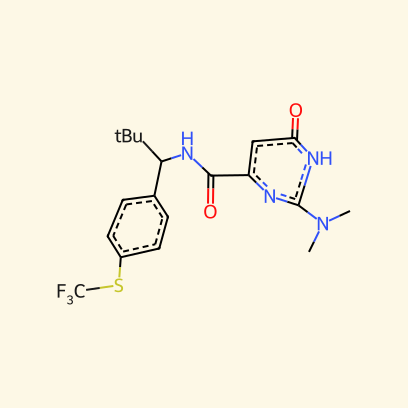 CN(C)c1nc(C(=O)NC(c2ccc(SC(F)(F)F)cc2)C(C)(C)C)cc(=O)[nH]1